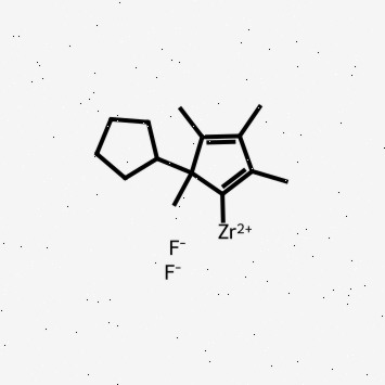 CC1=C(C)C(C)(C2CCCC2)[C]([Zr+2])=C1C.[F-].[F-]